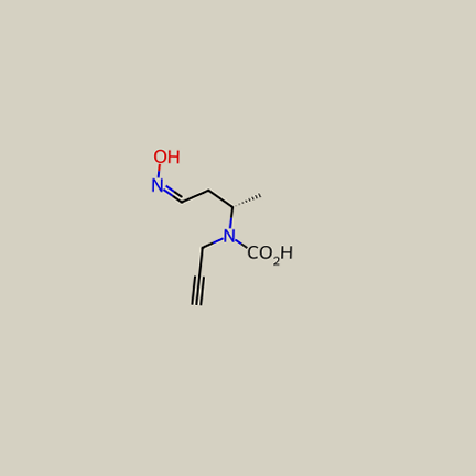 C#CCN(C(=O)O)[C@@H](C)C/C=N\O